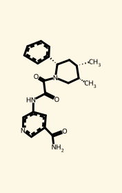 C[C@@H]1CN(C(=O)C(=O)Nc2cncc(C(N)=O)c2)[C@H](c2ccccc2)C[C@@H]1C